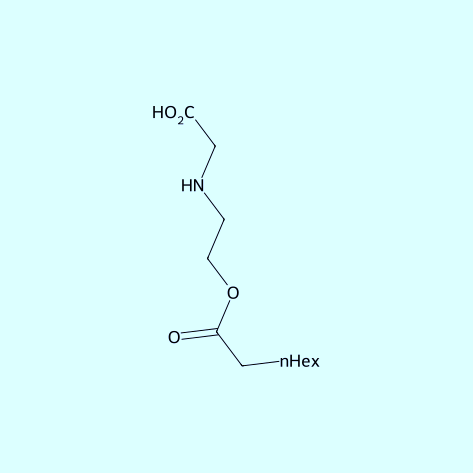 CCCCCCCC(=O)OCCNCC(=O)O